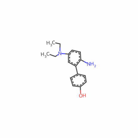 CCN(CC)c1ccc(N)c(-c2ccc(O)cc2)c1